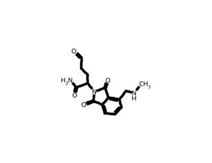 CNCc1cccc2c1C(=O)N(C(CCC=O)C(N)=O)C2=O